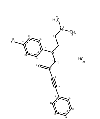 CN(C)CCC(NC(=O)C#Cc1ccccc1)c1ccc(Cl)cc1.Cl